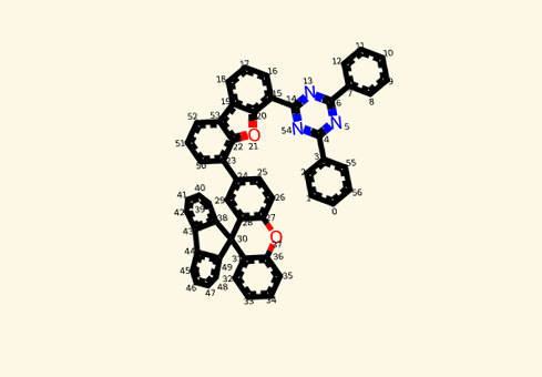 c1ccc(-c2nc(-c3ccccc3)nc(-c3cccc4c3oc3c(-c5ccc6c(c5)C5(c7ccccc7O6)c6ccccc6-c6ccccc65)cccc34)n2)cc1